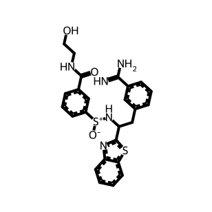 N=C(N)c1cccc(CC(N[S+]([O-])c2cccc(C(=O)NCCO)c2)c2nc3ccccc3s2)c1